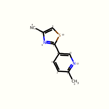 Cc1ccc(-c2nc(C#N)cs2)cn1